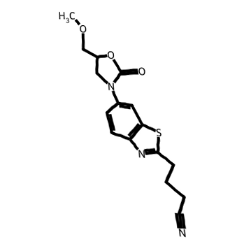 COCC1CN(c2ccc3nc(CCCC#N)sc3c2)C(=O)O1